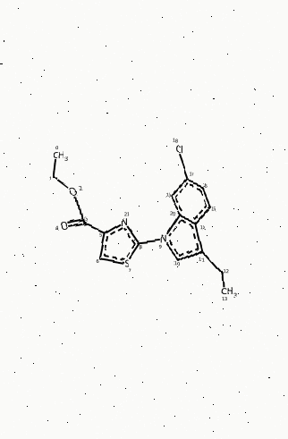 CCOC(=O)c1csc(-n2cc(CC)c3ccc(Cl)cc32)n1